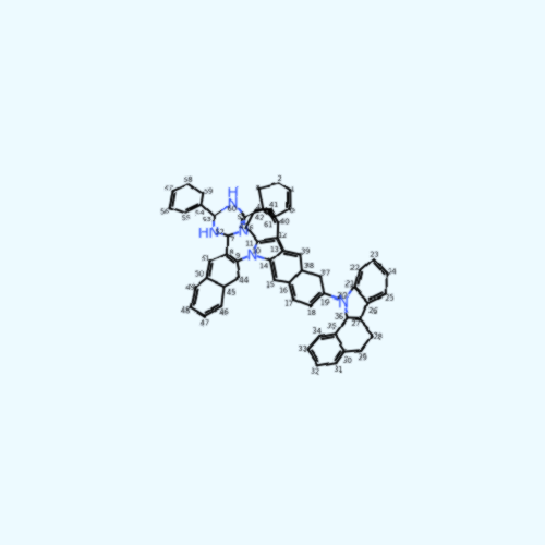 C1=CCCC(C2=NC(C3=C(n4c5c(c6c4=CC4=CC=C(N7c8ccccc8C8CCc9ccccc9C87)CC4C=6)C=CCC5)CC4C=CC=CC4=C3)NC(C3=CC=CCC3)N2)=C1